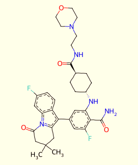 CC1(C)CC(=O)n2c(c(-c3cc(F)c(C(N)=O)c(N[C@H]4CC[C@H](C(=O)NCCN5CCOCC5)CC4)c3)c3ccc(F)cc32)C1